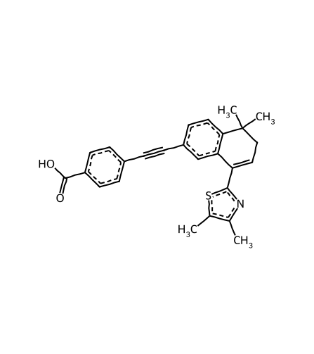 Cc1nc(C2=CCC(C)(C)c3ccc(C#Cc4ccc(C(=O)O)cc4)cc32)sc1C